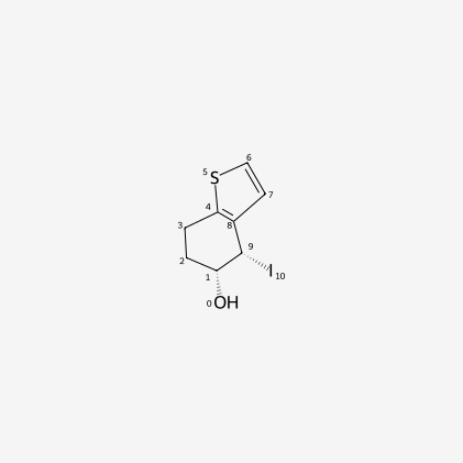 O[C@@H]1CCc2sccc2[C@@H]1I